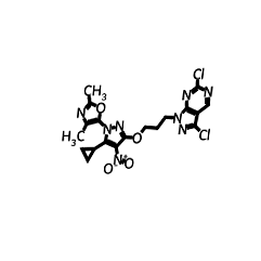 Cc1nc(C)c(-n2nc(OCCCn3nc(Cl)c4cnc(Cl)nc43)c([N+](=O)[O-])c2C2CC2)o1